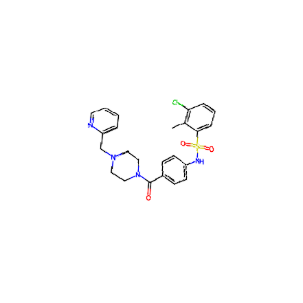 Cc1c(Cl)cccc1S(=O)(=O)Nc1ccc(C(=O)N2CCN(Cc3ccccn3)CC2)cc1